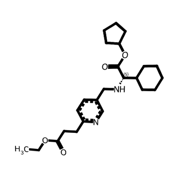 CCOC(=O)CCc1ccc(CN[C@H](C(=O)OC2CCCC2)C2CCCCC2)cn1